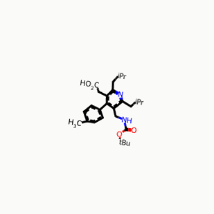 Cc1ccc(-c2c(CNC(=O)OC(C)(C)C)c(CC(C)C)nc(CC(C)C)c2CC(=O)O)cc1